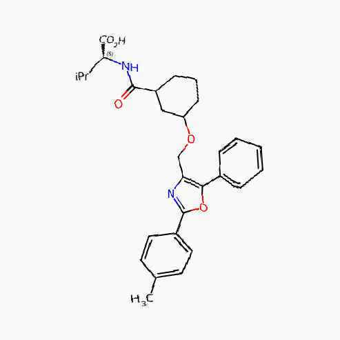 Cc1ccc(-c2nc(COC3CCCC(C(=O)N[C@H](C(=O)O)C(C)C)C3)c(-c3ccccc3)o2)cc1